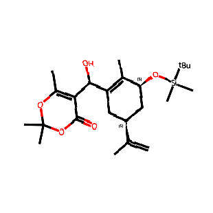 C=C(C)[C@H]1CC(C(O)C2=C(C)OC(C)(C)OC2=O)=C(C)[C@@H](O[Si](C)(C)C(C)(C)C)C1